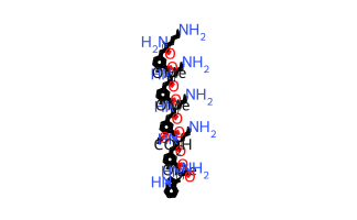 COc1ccc(CC(=O)[C@H](CCCCN)NC(=O)c2cc(CC(=O)[C@H](CCCCN)NC(=O)c3cc(CC(=O)[C@H](CCCCN)NC(=O)c4cc(CC(=O)[C@@H](N)CCCCN)ccc4OC)ccc3OC)ccc2OCC(=O)O)cc1C(=O)N[C@@H](Cc1c[nH]c2ccccc12)C(N)=O